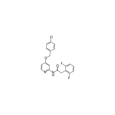 O=C(Cc1c(F)cccc1F)Nc1cc(OCc2ccc(Cl)cc2)ccn1